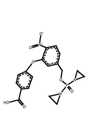 O=C(O)c1ccc(Oc2cc(COP(=O)(N3CC3)N3CC3)ccc2[N+](=O)[O-])cc1